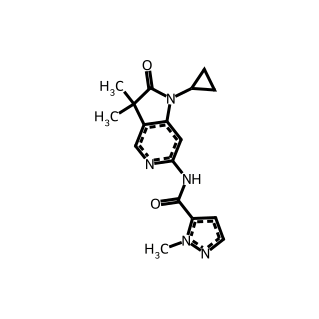 Cn1nccc1C(=O)Nc1cc2c(cn1)C(C)(C)C(=O)N2C1CC1